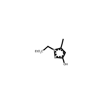 CCOC(=O)Cn1nc(O)cc1C